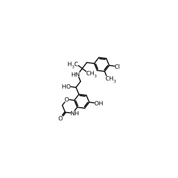 Cc1cc(CC(C)(C)NCC(O)c2cc(O)cc3c2OCC(=O)N3)ccc1Cl